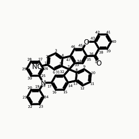 N#Cc1ccc2c(c1)C1(c3ccccc3-c3ccc(N(c4ccccc4)c4ccccc4)cc31)c1cc3c(=O)c4ccccc4oc3cc1-2